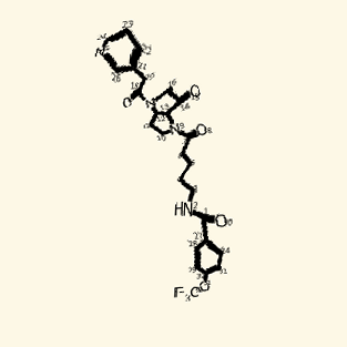 O=C(NCCCCC(=O)N1CCC2C1C(=O)CN2C(=O)Cc1cccnc1)c1ccc(OC(F)(F)F)cc1